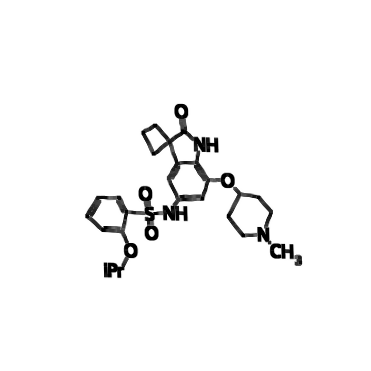 CC(C)Oc1ccccc1S(=O)(=O)Nc1cc(OC2CCN(C)CC2)c2c(c1)C1(CCC1)C(=O)N2